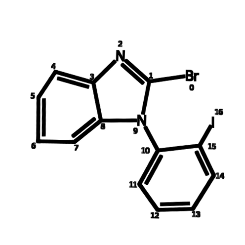 Brc1nc2ccccc2n1-c1ccccc1I